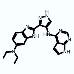 CCN(CC)c1ccc2nc(-c3n[nH]cc3Nc3ncnc4[nH]ccc34)[nH]c2c1